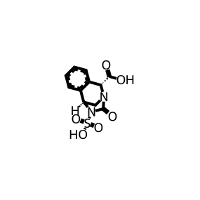 O=C(O)[C@H]1c2ccccc2[C@H]2CN1C(=O)N2S(=O)(=O)O